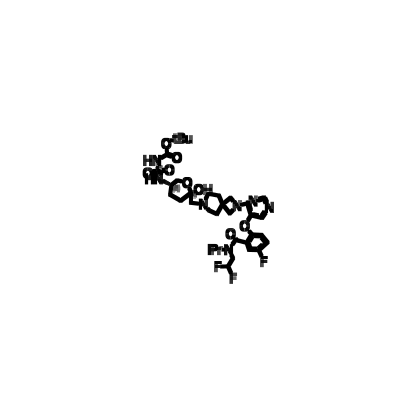 CC(C)N(CC(F)F)C(=O)c1cc(F)ccc1Oc1cncnc1N1CC2(CCN(C[C@@]3(O)CC[C@@H](NS(=O)(=O)NC(=O)OC(C)(C)C)CO3)CC2)C1